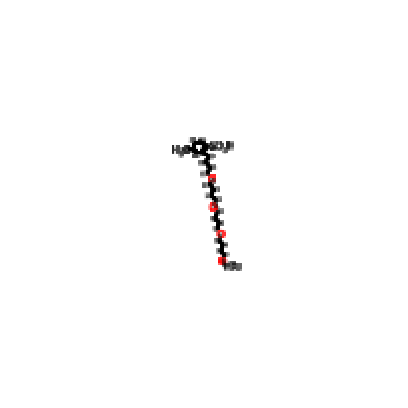 [CH2]CCCOCCCCOCCCCOCCCCOCCCCc1cc(C)ccc1S(=O)(=O)O